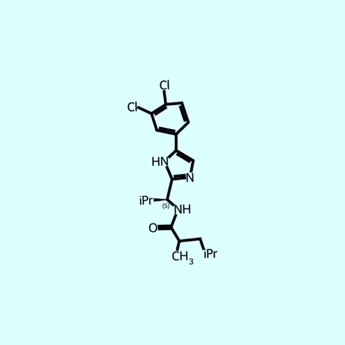 CC(C)CC(C)C(=O)N[C@H](c1ncc(-c2ccc(Cl)c(Cl)c2)[nH]1)C(C)C